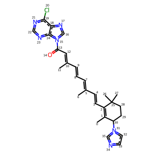 CC1=C(/C=C/C(C)=C/C=C/C(C)=C/C(=O)n2cnc3c(Cl)ncnc32)C(C)(C)CCC1n1ccnc1